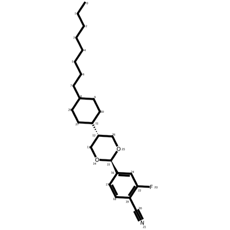 CCCCCCCCC1CCC([C@H]2CO[C@H](c3ccc(C#N)c(F)c3)OC2)CC1